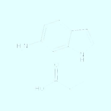 CCC(=O)O.Nc1ccc2cc[nH]c2c1